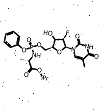 Cc1cn([C@H]2O[C@@H](COP(=O)(N[C@@H](C)C(=O)OC(C)C)Oc3ccccc3)C(O)[C@H]2F)c(=O)[nH]c1=O